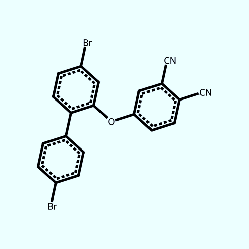 N#Cc1ccc(Oc2cc(Br)ccc2-c2ccc(Br)cc2)cc1C#N